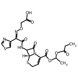 CCC(=O)OC(C)OC(=O)C1=CCS[C@@H]2C(NC(=O)/C(=N\OCC(=O)O)c3cscn3)C(=O)N12